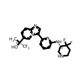 C[C@](O)(c1ccc2ncc(-c3cccc(N[C@H]4CNCCC4(F)F)n3)n2c1)C(F)(F)F